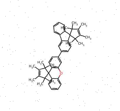 CC1=C(C)C(C)(C)C2(c3ccccc3Oc3cc(-c4ccc5c(c4)-c4ccccc4C54C(C)(C)C(C)=C(C)C4(C)C)ccc32)C1(C)C